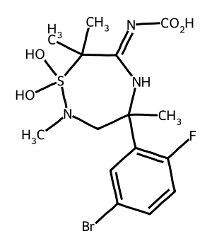 CN1CC(C)(c2cc(Br)ccc2F)NC(=NC(=O)O)C(C)(C)S1(O)O